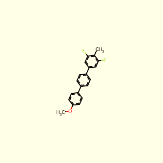 COc1ccc(-c2ccc(-c3cc(F)c(C)c(F)c3)cc2)cc1